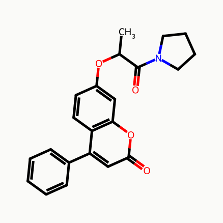 CC(Oc1ccc2c(-c3ccccc3)cc(=O)oc2c1)C(=O)N1CCCC1